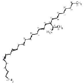 CCCCC/C=C\CC=CCCCCCCCCCC(CCCCCCCC)N(C)C